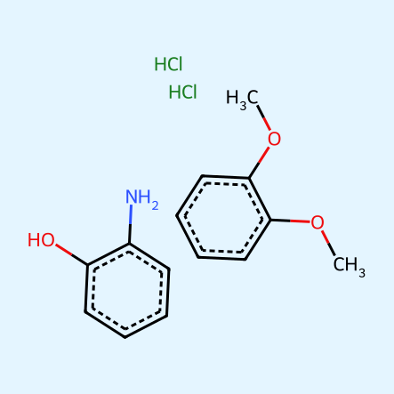 COc1ccccc1OC.Cl.Cl.Nc1ccccc1O